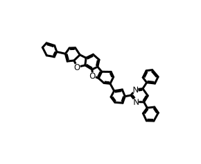 C1=CC(C2=CC3Oc4c(ccc5c4oc4cc(-c6cccc(-c7nc(-c8ccccc8)cc(-c8ccccc8)n7)c6)ccc45)C3C=C2)=CCC1